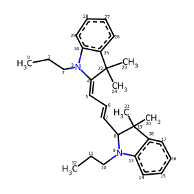 CCCN1/C(=C/C=C/C2N(CCC)c3ccccc3C2(C)C)C(C)(C)c2ccccc21